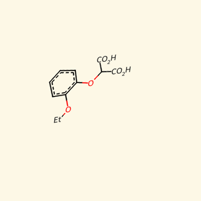 CCOc1ccccc1OC(C(=O)O)C(=O)O